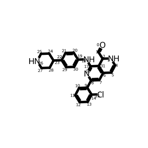 O=CC1NC=Cc2cc(-c3ccccc3Cl)nc(Nc3ccc(C4CCNCC4)cc3)c21